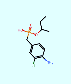 CCC(C)OP(=O)(O)Cc1ccc(N)c(Cl)c1